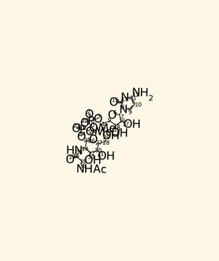 COP(=O)(OCC1OC(n2ccc(N)nc2=O)C(O)C1O)OP(=O)(OC)OC1OC(CO)C(O)C(O)C1NC(=O)CNC(C)=O